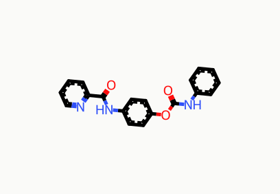 O=C(Nc1ccccc1)Oc1ccc(NC(=O)c2ccccn2)cc1